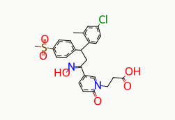 Cc1cc(Cl)ccc1C(CC(=NO)c1ccc(=O)n(CCC(=O)O)c1)c1ccc(S(C)(=O)=O)cc1